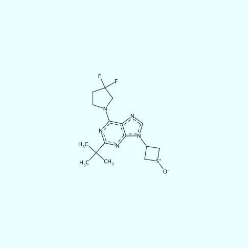 CC(C)(C)c1nc(N2CCC(F)(F)C2)c2ncn(C3C[S+]([O-])C3)c2n1